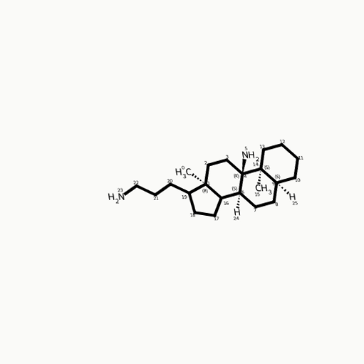 C[C@]12CC[C@@]3(N)[C@@H](CC[C@@H]4CCCC[C@@]43C)C1CCC2CCCN